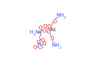 CC(=O)C(OCCOCCN)(OCCOCCN)C(=O)OC(=O)[C@@H](N)CCC(=O)ON1C(=O)CCC1=O